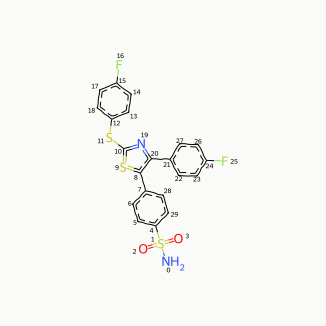 NS(=O)(=O)c1ccc(-c2sc(Sc3ccc(F)cc3)nc2-c2ccc(F)cc2)cc1